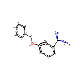 N=C(N)c1cccc(OCc2ccccc2)c1